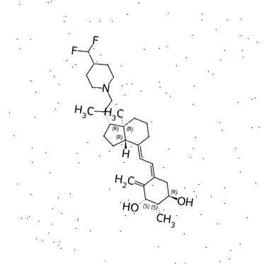 C=C1C(=CC=C2CCC[C@]3(C)[C@@H](C(C)CN4CCC(C(F)F)CC4)CC[C@@H]23)C[C@@H](O)[C@H](C)[C@@H]1O